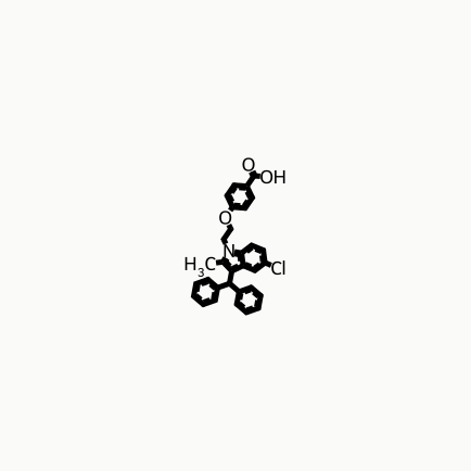 Cc1c(C(c2ccccc2)c2ccccc2)c2cc(Cl)ccc2n1CCOc1ccc(C(=O)O)cc1